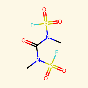 CN(C(=O)N(C)S(=O)(=O)F)S(=O)(=O)F